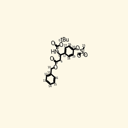 CC(C)(C)OC(=O)NC(CC(=O)OCc1ccccc1)c1ccc(OS(C)(=O)=O)cc1